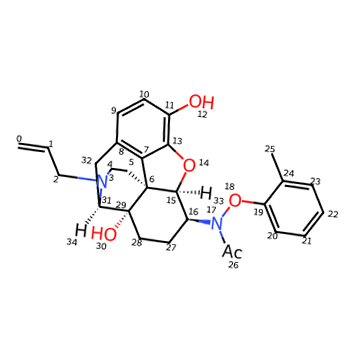 C=CCN1CC[C@]23c4c5ccc(O)c4O[C@H]2[C@@H](N(Oc2ccccc2C)C(C)=O)CC[C@@]3(O)[C@H]1C5